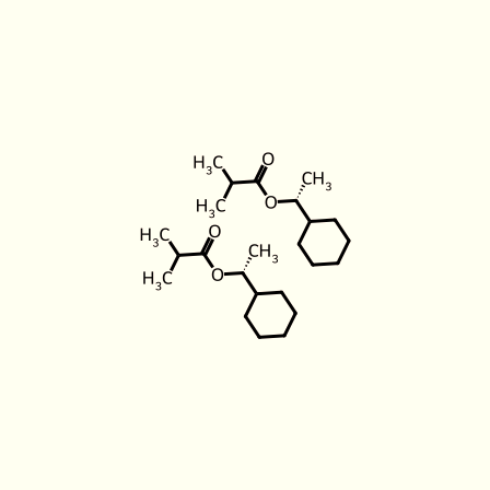 CC(C)C(=O)O[C@H](C)C1CCCCC1.CC(C)C(=O)O[C@H](C)C1CCCCC1